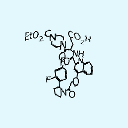 CCOC(=O)N1CCN(C(=O)C(CCC(=O)O)NC(=O)c2cc(OCC(=O)N3CCC[C@H]3c3ccc(F)cc3F)c3ccccc3n2)CC1